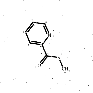 CSC(=O)c1ccccn1